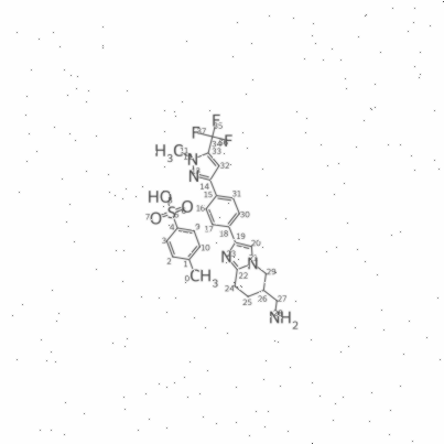 Cc1ccc(S(=O)(=O)O)cc1.Cn1nc(-c2ccc(-c3cn4c(n3)CCC(CN)C4)cc2)cc1C(F)(F)F